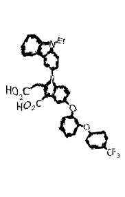 CCn1c2ccccc2c2cc(-n3c(CC(=O)O)c(C(=O)O)c4cc(Oc5ccccc5Oc5ccc(C(F)(F)F)cc5)ccc43)ccc21